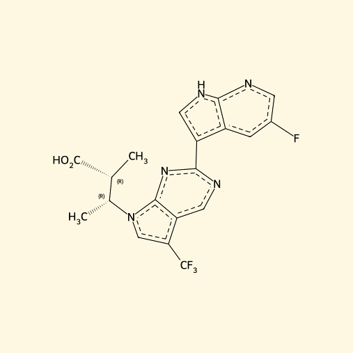 C[C@H]([C@@H](C)C(=O)O)n1cc(C(F)(F)F)c2cnc(-c3c[nH]c4ncc(F)cc34)nc21